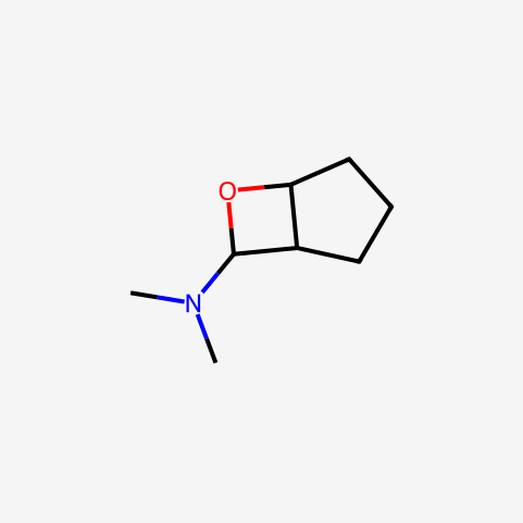 CN(C)C1OC2CCCC21